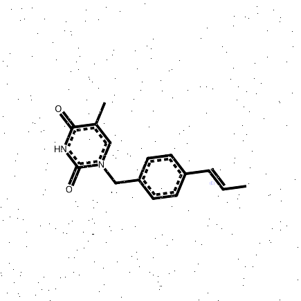 C/C=C/c1ccc(Cn2cc(C)c(=O)[nH]c2=O)cc1